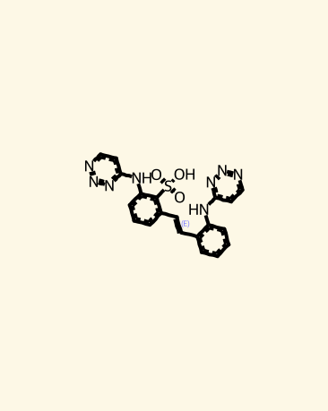 O=S(=O)(O)c1c(/C=C/c2ccccc2Nc2ccnnn2)cccc1Nc1ccnnn1